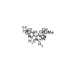 C=N/C(=C\n1c(C)nnc1C(C)(C)OC)c1ccc(OC2(C(F)(F)F)CCC2)nc1